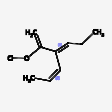 C=C(OCl)C(/C=C\C)=C/CC